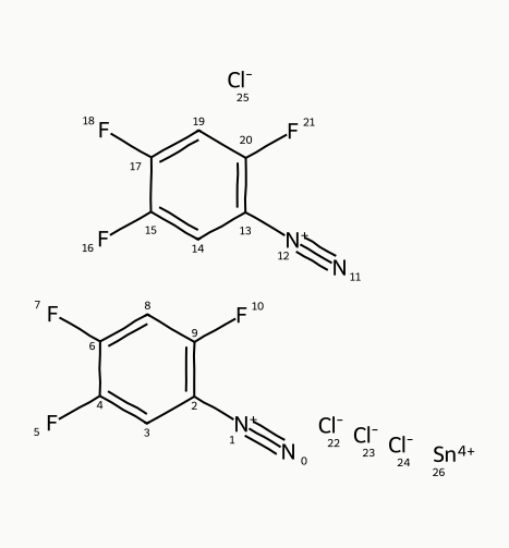 N#[N+]c1cc(F)c(F)cc1F.N#[N+]c1cc(F)c(F)cc1F.[Cl-].[Cl-].[Cl-].[Cl-].[Sn+4]